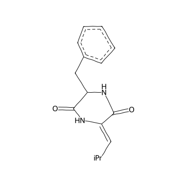 CC(C)/C=C1\NC(=O)C(Cc2ccccc2)NC1=O